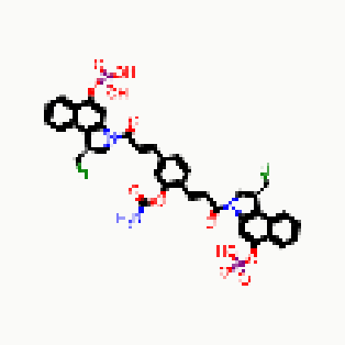 NC(=O)Oc1cc(C=CC(=O)N2C[C@@H](CCl)c3c2cc(OP(=O)(O)O)c2ccccc32)ccc1C=CC(=O)N1C[C@@H](CCl)c2c1cc(OP(=O)(O)O)c1ccccc21